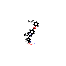 C=C(/C=C1/CC[C@@H](COc2cc(F)cc(OC)c2)C/C1=C/C)[C@H]1CC[C@](N)(CO)C1